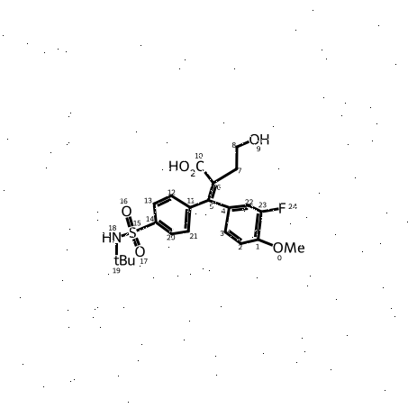 COc1ccc(C(=C(CCO)C(=O)O)c2ccc(S(=O)(=O)NC(C)(C)C)cc2)cc1F